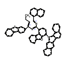 CC/C=C(/N=C(\N=C\c1cccc2ccccc12)c1ccc(-n2c3cc4ccccc4cc3c3ccc4ccccc4c32)c2oc3ccccc3c12)c1ccc2c(c1)sc1ccccc12